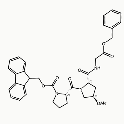 CO[C@@H]1C[C@@H](C(=O)NCC(=O)OCc2ccccc2)N(C(=O)[C@@H]2CCCN2C(=O)OCC2c3ccccc3-c3ccccc32)C1